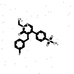 CS(=O)(=O)c1ccc(-c2cnn(CC(F)(F)F)c(=O)c2Cc2cccc(F)c2)cc1